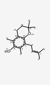 CC(C)=CCc1c(C)c(O)c(C)c2c1OC(C)(C)CC2